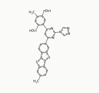 CCCCCCCCc1cc(-c2cc(-c3ccc4c(c3)sc3c5ccc(C)cc5sc43)nc(-n3cnnc3)n2)c(CCCCCCCC)cc1C